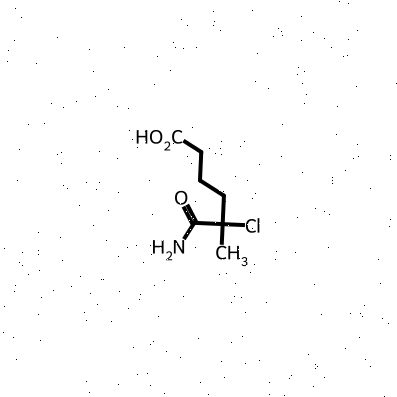 CC(Cl)(CCCC(=O)O)C(N)=O